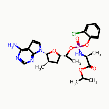 CC(C)OC(=O)[C@H](C)NP(=O)(Oc1ccccc1Cl)OC(C)[C@@H]1C[C@H](C)[C@H](n2ccc3c(N)ncnc32)O1